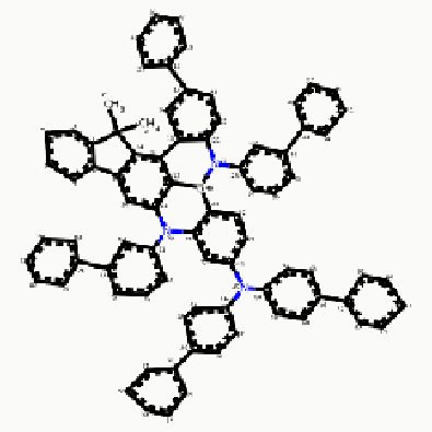 CC1(C)c2ccccc2-c2cc3c4c(c21)-c1cc(-c2ccccc2)ccc1N(c1cccc(-c2ccccc2)c1)B4c1ccc(N(c2ccc(-c4ccccc4)cc2)c2ccc(-c4ccccc4)cc2)cc1N3c1cccc(-c2ccccc2)c1